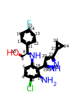 Nc1c(Cl)ccc(N[C@@H](CO)c2ccc(F)cc2)c1-c1cc(C2CC2)n[nH]1